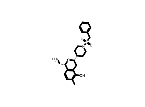 Cc1ccc2c(c1O)C[C@@H](C1CCN(S(=O)(=O)Cc3ccccc3)CC1)O[C@H]2CN